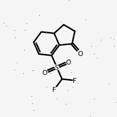 O=C1CCC2CC=CC(S(=O)(=O)C(F)F)=C12